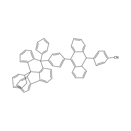 N#Cc1ccc(C2c3ccccc3C(c3ccc(C4(c5ccccc5)c5ccccc5C5(C6C=CC=CC6)c6ccccc6-c6cccc4c65)cc3)=C3C=CC=CC32)cc1